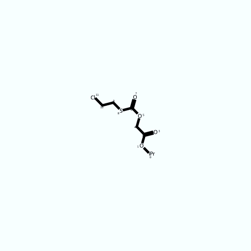 CC(C)OC(=O)COC(=O)SCCCl